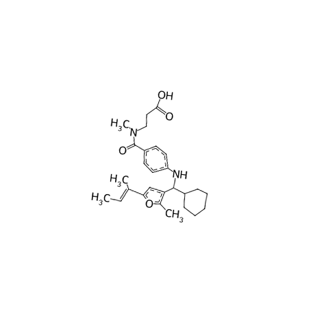 C/C=C(\C)c1cc(C(Nc2ccc(C(=O)N(C)CCC(=O)O)cc2)C2CCCCC2)c(C)o1